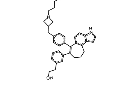 OCCc1cccc(C2=C(c3ccc(CC4CN(CCCF)C4)cc3)c3ccc4[nH]ccc4c3CCC2)c1